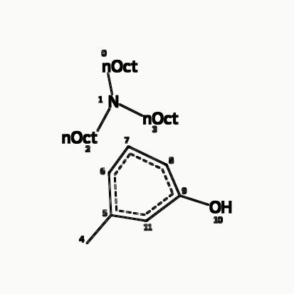 CCCCCCCCN(CCCCCCCC)CCCCCCCC.Cc1cccc(O)c1